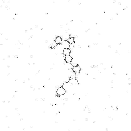 Cc1cccc(-c2[nH]cnc2-c2ccc3ncc(-c4cc(C(=O)OCCN5CCNCC5)ccn4)cc3c2)n1